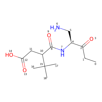 CCC(=O)[C@H](CN)NC(=O)C(CC(=O)O)C(C)(C)C